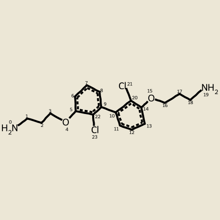 NCCCOc1cccc(-c2cccc(OCCCN)c2Cl)c1Cl